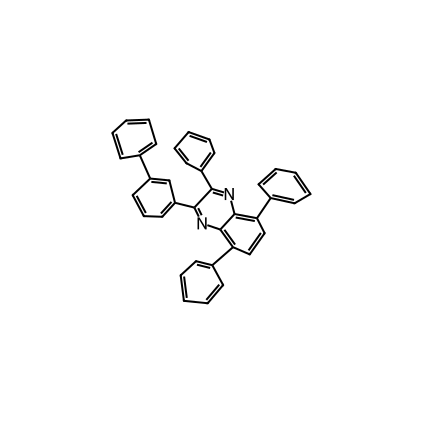 c1ccc(-c2cccc(-c3nc4c(-c5ccccc5)ccc(-c5ccccc5)c4nc3-c3ccccc3)c2)cc1